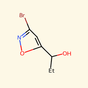 CCC(O)c1cc(Br)no1